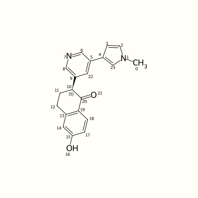 Cn1ccc(-c2cncc([C@@H]3CCc4cc(O)ccc4C3=O)c2)c1